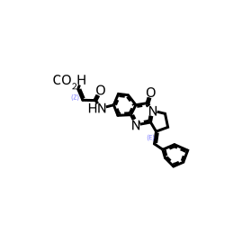 O=C(O)/C=C\C(=O)Nc1ccc2c(=O)n3c(nc2c1)/C(=C/c1ccccc1)CC3